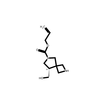 C=CCOC(=O)N1C[C@@H](CO)C2(CNC2)C1